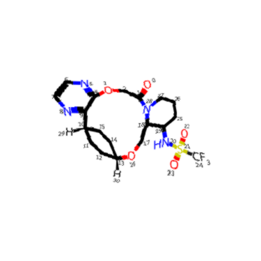 O=C1COc2nccnc2[C@H]2CC[C@H](CC2)OCC2C(NS(=O)(=O)C(F)(F)F)CCCN12